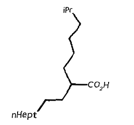 CCCCCCCCCC(CCCCC(C)C)C(=O)O